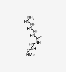 CNONNNN(C)NNNNNN